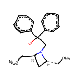 COC[C@@H]1C[C@@H](COC)N1CC(O)(c1ccccc1)c1ccccc1